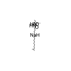 CCC[NH+]([O-])NC(=O)CCCCCCCCCCCCCCC(C)C.[NaH]